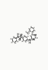 COc1ccccc1-c1cc(Nc2ccc(S(=O)(=O)Nc3ccccc3)cc2)ncn1